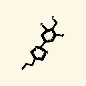 CCCc1cnc(-c2cc(F)c(CF)c(F)c2)nc1